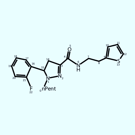 CCCCCN1N=C(C(=O)NCCc2cccs2)CC1c1ccccc1F